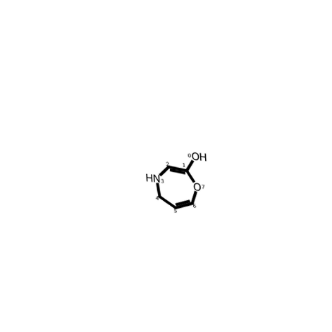 OC1=CNCC=CO1